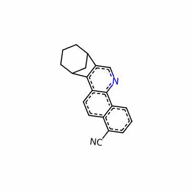 N#Cc1cccc2c1ccc1c3c(cnc12)C1CCCC3C1